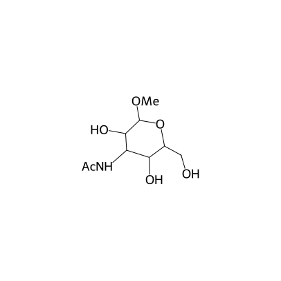 COC1OC(CO)C(O)C(NC(C)=O)C1O